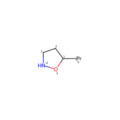 CC(C)C1CCNO1